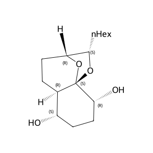 CCCCCC[C@@H]1O[C@]23O[C@@H]1CC[C@@H]2[C@@H](O)CC[C@H]3O